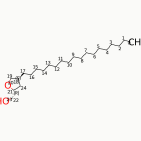 CCCCCCCCCCCCCCCCCC[C@@H]1CO[C@@H](CO)C1